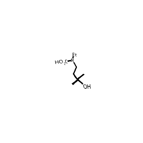 CCN(CCC(C)(C)O)C(=O)O